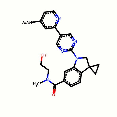 CC(=O)Nc1ccnc(-c2cnc(N3CC4(CC4)c4ccc(C(=O)N(C)CCO)cc43)nc2)c1